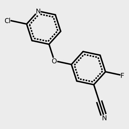 N#Cc1cc(Oc2ccnc(Cl)c2)ccc1F